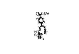 COC(=O)c1ccc(C(CCNS(C)(=O)=O)N=[N+]=[N-])nc1